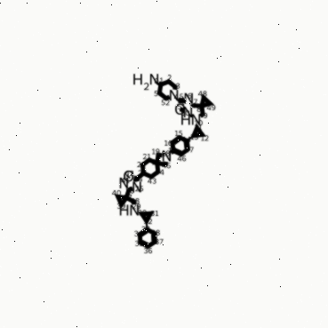 NC1CCN(c2nc(C3(CN[C@@H]4C[C@H]4c4ccc(N5CC6(CCC(c7nc(C8(CN[C@@H]9C[C@H]9c9ccccc9)CC8)no7)CC6)C5)cc4)CC3)no2)CC1